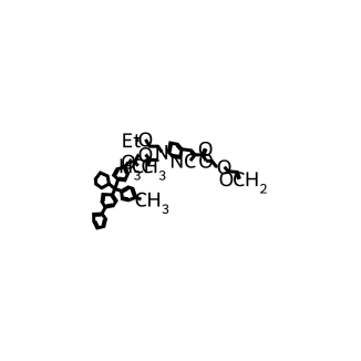 C=CC(=O)OCCOC(=O)/C(C#N)=C/c1ccc(N(CCOCC)CC(C)OCC(C)Oc2ccc(C(c3ccc(C)cc3)(c3ccc(-c4ccccc4)cc3)C3CCCCC3)cc2)cc1